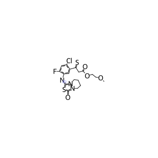 COCCOC(=O)CC(=S)c1cc(/N=c2/sc(=O)n3n2CCCC3)c(F)cc1Cl